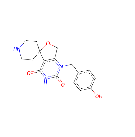 O=c1[nH]c(=O)n(Cc2ccc(O)cc2)c2c1C1(CCNCC1)OC2